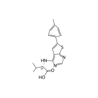 Cc1ccc(-c2cc3c(N[C@H](C(=O)O)C(C)C)ncnc3s2)cc1